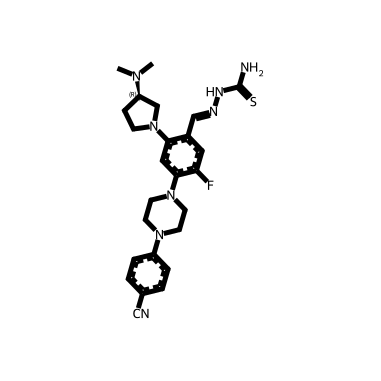 CN(C)[C@@H]1CCN(c2cc(N3CCN(c4ccc(C#N)cc4)CC3)c(F)cc2C=NNC(N)=S)C1